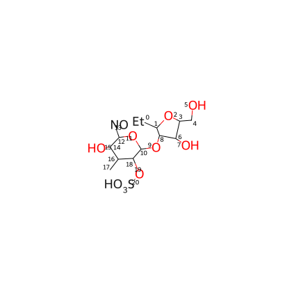 CCC1OC(CO)C(O)C1OC1OC(N=O)C(O)C(C)C1OS(=O)(=O)O